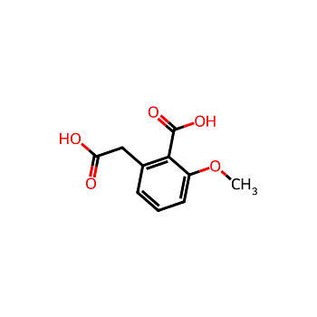 COc1cccc(CC(=O)O)c1C(=O)O